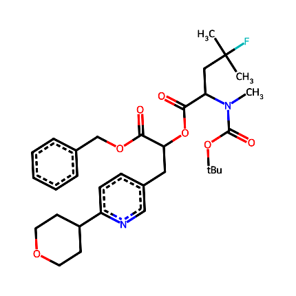 CN(C(=O)OC(C)(C)C)C(CC(C)(C)F)C(=O)OC(Cc1ccc(C2CCOCC2)nc1)C(=O)OCc1ccccc1